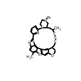 CCc1c(C)cc2nc3sc2c1-c1ccc2c(c1)C(CCCCC(C)CC1CN(C(C)C)CCN1c1cccc-3n1)CCO2